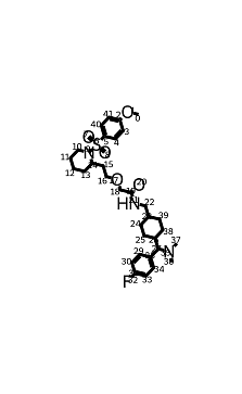 COc1ccc(S(=O)(=O)N2CCCCC2CCOCC(=O)NCC2CCC(C(c3ccc(F)cc3)N(C)C)CC2)cc1